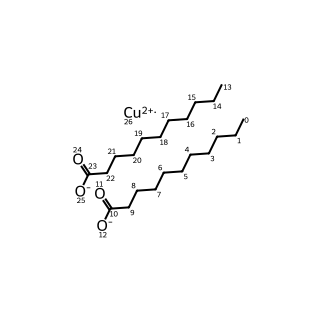 CCCCCCCCCCC(=O)[O-].CCCCCCCCCCC(=O)[O-].[Cu+2]